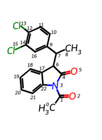 CC(=O)N1C(=O)C(C(C)c2ccc(Cl)c(Cl)c2)c2ccccc21